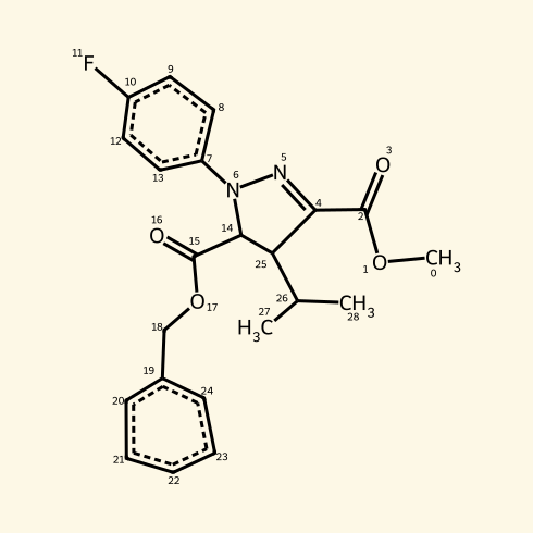 COC(=O)C1=NN(c2ccc(F)cc2)C(C(=O)OCc2ccccc2)C1C(C)C